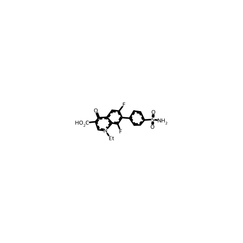 CCn1cc(C(=O)O)c(=O)c2cc(F)c(-c3ccc(S(N)(=O)=O)cc3)c(F)c21